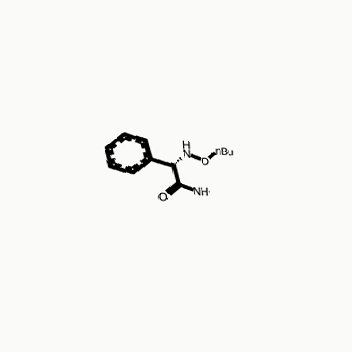 CCCCON[C@H](C([NH])=O)c1ccccc1